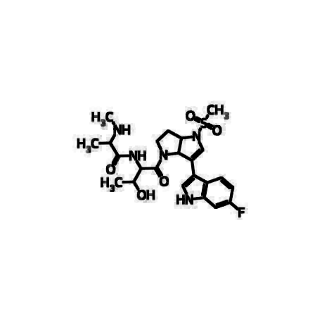 CNC(C)C(=O)NC(C(=O)N1CCC2C1C(c1c[nH]c3cc(F)ccc13)=CN2S(C)(=O)=O)C(C)O